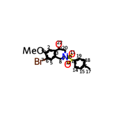 COc1cc2c(cc1Br)CN(S(=O)(=O)c1ccc(C)cc1)CC2=O